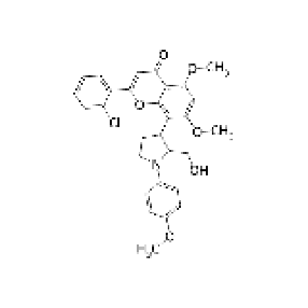 COc1ccc(N2CCC(c3c(OC)cc(OC)c4c(=O)cc(-c5ccccc5Cl)oc34)C2CO)cc1